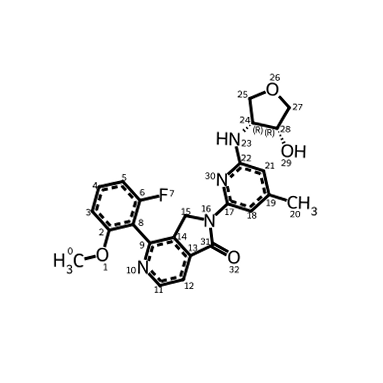 COc1cccc(F)c1-c1nccc2c1CN(c1cc(C)cc(N[C@@H]3COC[C@@H]3O)n1)C2=O